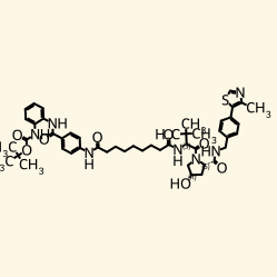 Cc1ncsc1-c1ccc(CNC(=O)[C@@H]2C[C@@H](O)CN2C(=O)[C@@H](NC(=O)CCCCCCCC(=O)Nc2ccc(C(=O)Nc3ccccc3NC(=O)OC(C)(C)C)cc2)C(C)(C)C)cc1